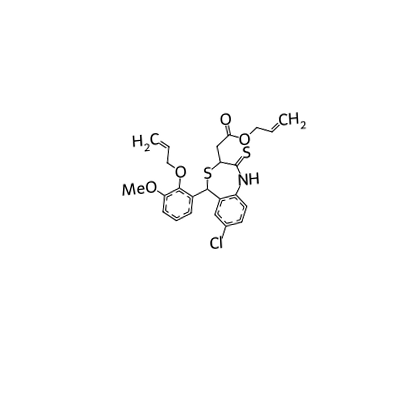 C=CCOC(=O)CC1SC(c2cccc(OC)c2OCC=C)c2cc(Cl)ccc2NC1=S